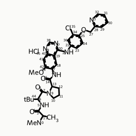 CNC(C)C(=O)NC(C(=O)N1CCCC1C(=O)Nc1cc2c(Nc3ccc(OCc4ccccn4)c(Cl)c3)ncnc2cc1OC)C(C)(C)C.Cl